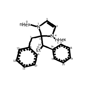 CCCCCCN1C=CN(CCCCCC)C1(Cc1ccccc1)C(CC)c1ccccc1